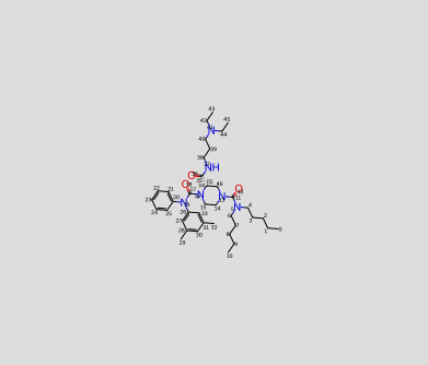 CCCCCN(CCCCC)C(=O)N1CCN(C(=O)N(c2ccccc2)c2cc(C)cc(C)c2)[C@H](C(=O)NCCCN(CC)CC)C1